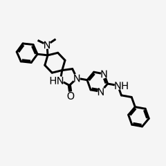 CN(C)C1(c2ccccc2)CCC2(CC1)CN(c1cnc(NCCc3ccccc3)nc1)C(=O)N2